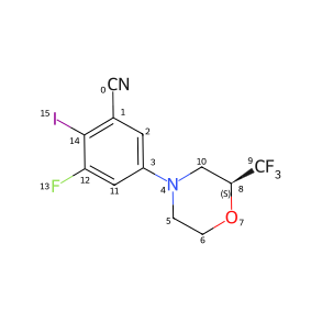 N#Cc1cc(N2CCO[C@H](C(F)(F)F)C2)cc(F)c1I